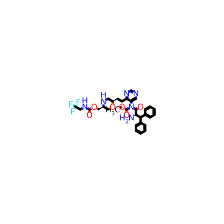 COC(=O)N(C(=O)[C@@H](N)C(c1ccccc1)c1ccccc1)c1cncnc1CC[C@@H]1CN[C@H](COC(=O)NCC(F)(F)F)CO1